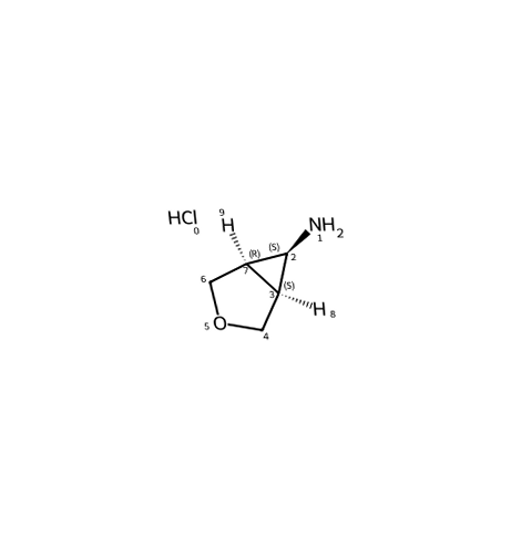 Cl.N[C@H]1[C@H]2COC[C@@H]12